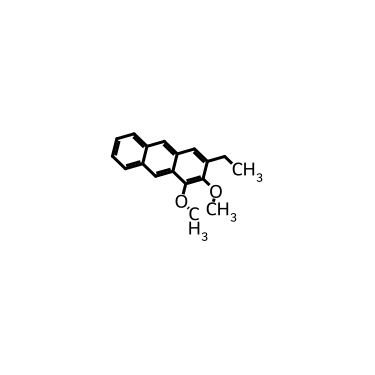 CCc1cc2cc3ccccc3cc2c(OC)c1OC